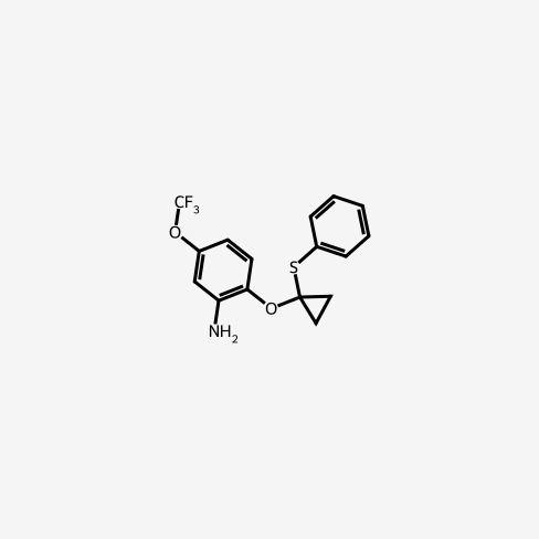 Nc1cc(OC(F)(F)F)ccc1OC1(Sc2ccccc2)CC1